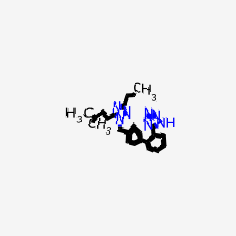 CCCc1nc(CCC(C)C)n(Cc2ccc(-c3ccccc3-c3nnn[nH]3)cc2)n1